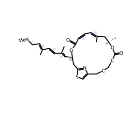 CNC/C=C(C)/C=C/C(C)=C/[C@@H]1Cc2nc(cs2)CCCCC(=O)O[C@@H](C)C/C(C)=C/C=C\C(=O)O1